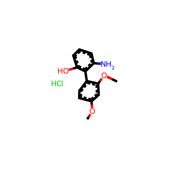 COc1ccc(-c2c(N)cccc2O)c(OC)c1.Cl